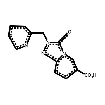 O=C(O)c1ccc2nn(Cc3ccccn3)c(=O)n2c1